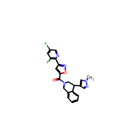 Cn1cc(C2CN(C(=O)c3cc(-c4ncc(F)cc4F)no3)Cc3ccccc32)cn1